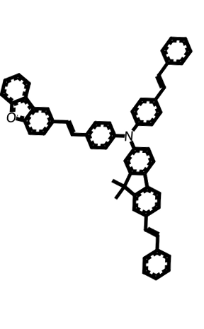 CC1(C)c2cc(/C=C/c3ccccc3)ccc2-c2ccc(N(c3ccc(/C=C/c4ccccc4)cc3)c3ccc(/C=C/c4ccc5oc6ccccc6c5c4)cc3)cc21